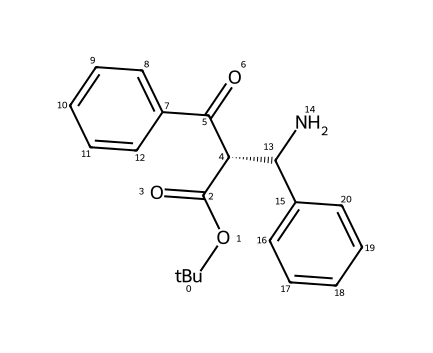 CC(C)(C)OC(=O)[C@H](C(=O)c1ccccc1)C(N)c1ccccc1